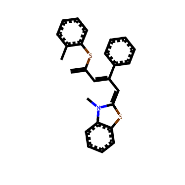 C=C(/C=C(/C=C1/Sc2ccccc2N1C)c1ccccc1)Sc1ccccc1C